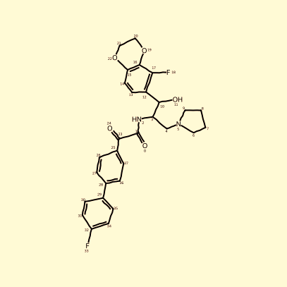 O=C(NC(CN1CCCC1)C(O)c1ccc2c(c1F)OCCO2)C(=O)c1ccc(-c2ccc(F)cc2)cc1